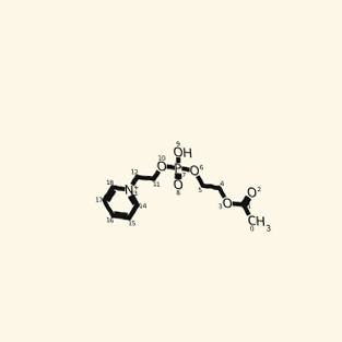 CC(=O)OCCOP(=O)(O)OCC[n+]1ccccc1